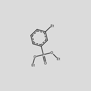 CCOP(=O)(OCC)c1cccc(CC)c1